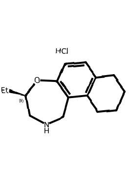 CC[C@@H]1CNCc2c(ccc3c2CCCC3)O1.Cl